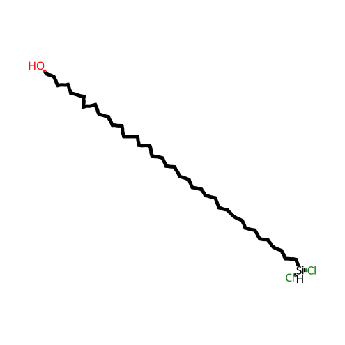 OCCCCCCCCCCCCCCCCCCCCCCCCCCCCCCCCCCCCCC[SiH](Cl)Cl